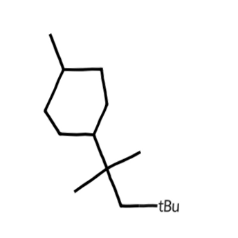 CC1CCC(C(C)(C)CC(C)(C)C)CC1